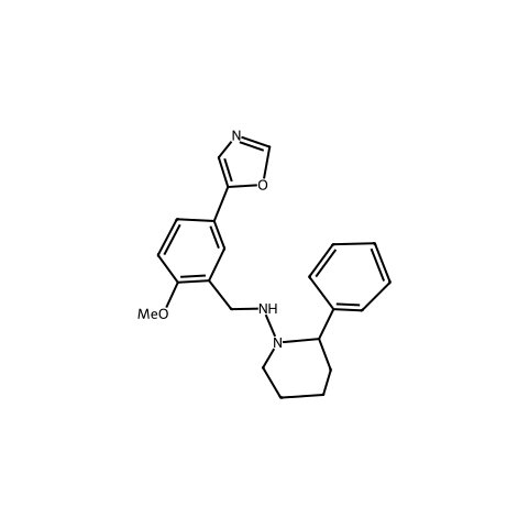 COc1ccc(-c2cnco2)cc1CNN1CCCCC1c1ccccc1